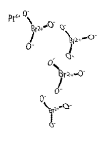 [O-][Br+2]([O-])[O-].[O-][Br+2]([O-])[O-].[O-][Br+2]([O-])[O-].[O-][Br+2]([O-])[O-].[Pt+4]